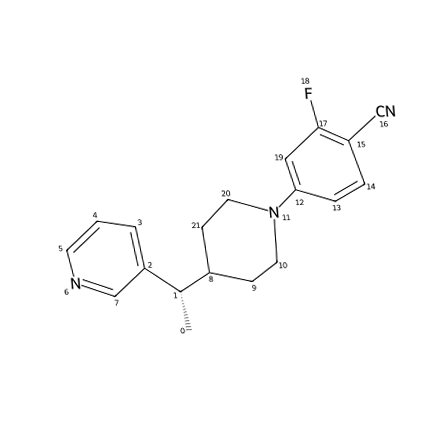 C[C@H](c1cccnc1)C1CCN(c2ccc(C#N)c(F)c2)CC1